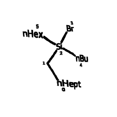 CCCCCCCC[Si](Br)(CCCC)CCCCCC